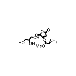 C=CC(=O)OC.O=C1C=CC(=O)O1.OCC(O)CO